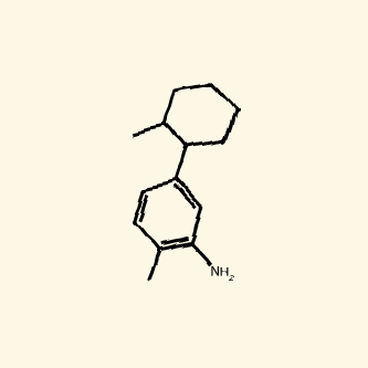 Cc1ccc([C]2CCCCC2C)cc1N